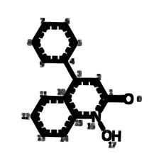 O=c1cc(-c2ccccc2)c2ccccc2n1O